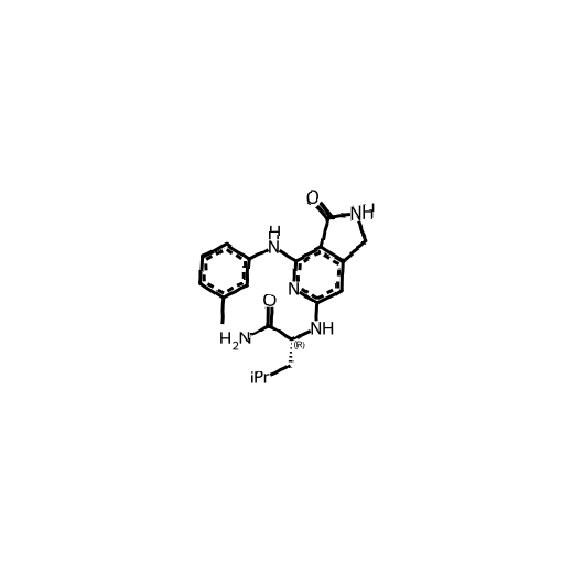 Cc1cccc(Nc2nc(N[C@H](CC(C)C)C(N)=O)cc3c2C(=O)NC3)c1